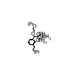 CC(C)CCc1cccc(C(OCCOC(C)C)C(C)(C)[Si](C)(C)C)c1